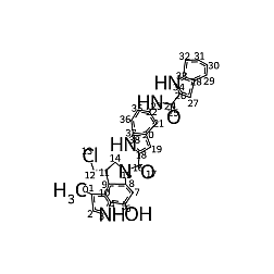 Cc1c[nH]c2c(O)cc3c(c12)[C@H](CCl)CN3C(=O)c1cc2cc(NC(=O)c3cc4ccccc4[nH]3)ccc2[nH]1